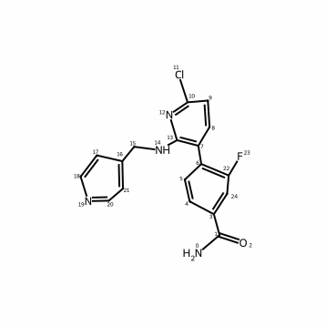 NC(=O)c1ccc(-c2ccc(Cl)nc2NCc2ccncc2)c(F)c1